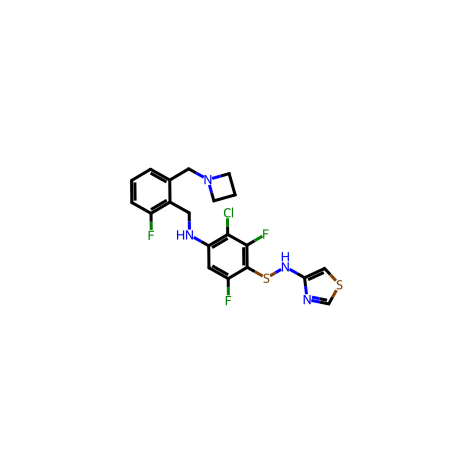 Fc1cccc(CN2CCC2)c1CNc1cc(F)c(SNc2cscn2)c(F)c1Cl